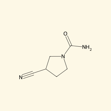 N#CC1CCN(C(N)=O)C1